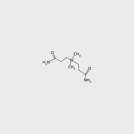 C[N+](C)(CCC(N)=O)CCC(N)=O